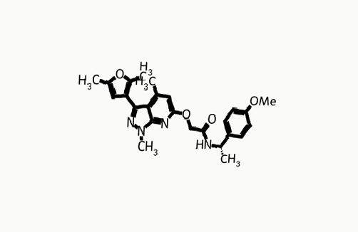 COc1ccc([C@H](C)NC(=O)COc2cc(C)c3c(-c4cc(C)oc4C)nn(C)c3n2)cc1